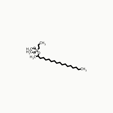 CCCCCCCCCCCCCCCCC(C)O[Si](CCC)(OC)OC